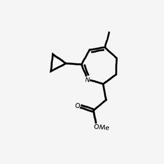 COC(=O)CC1CCC(C)=CC(C2CC2)=N1